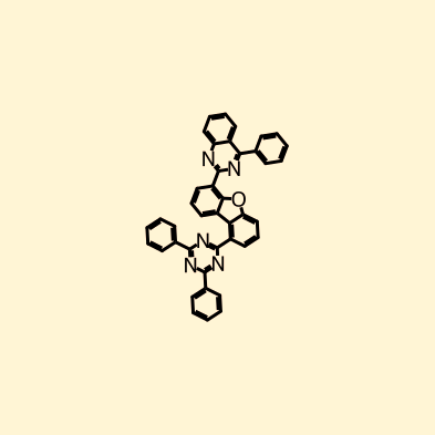 c1ccc(-c2nc(-c3ccccc3)nc(-c3cccc4oc5c(-c6nc(-c7ccccc7)c7ccccc7n6)cccc5c34)n2)cc1